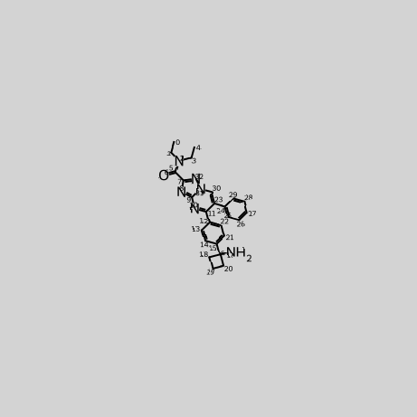 CCN(CC)C(=O)c1nc2nc(-c3ccc(C4(N)CCC4)cc3)c(-c3ccccc3)cn2n1